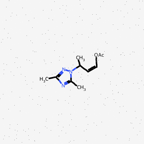 CC(=O)O/C=C\C(C)n1nc(C)nc1C